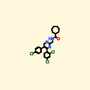 O=C(NCc1ncc(-c2ccc(Cl)cc2)c(-c2ccc(Cl)cc2Cl)n1)C1CCCCCC1